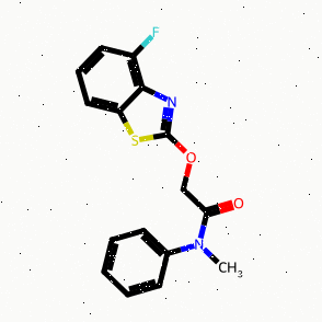 CN(C(=O)COc1nc2c(F)cccc2s1)c1ccccc1